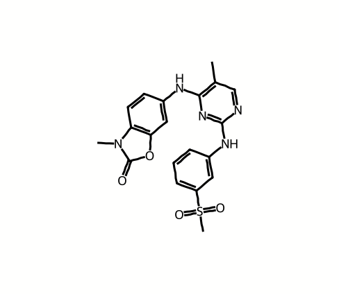 Cc1cnc(Nc2cccc(S(C)(=O)=O)c2)nc1Nc1ccc2c(c1)oc(=O)n2C